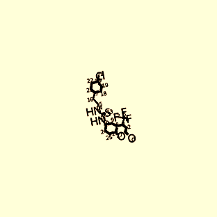 O=c1cc(C(F)(F)F)c2cc(NC(=S)NCCc3ccc(Cl)cc3)ccc2o1